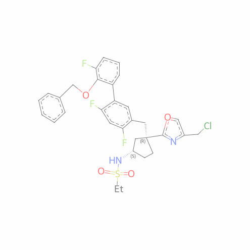 CCS(=O)(=O)N[C@H]1CC[C@](Cc2cc(-c3cccc(F)c3OCc3ccccc3)c(F)cc2F)(c2nc(CCl)co2)C1